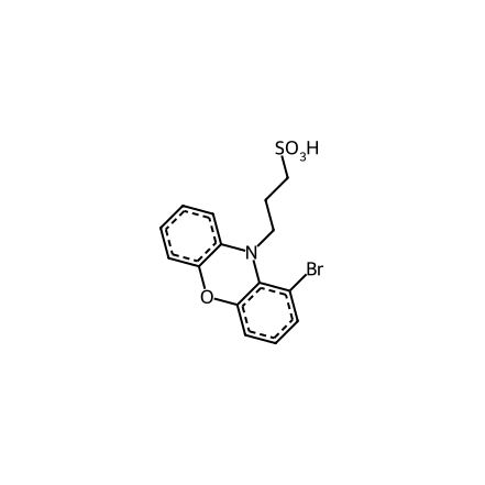 O=S(=O)(O)CCCN1c2ccccc2Oc2cccc(Br)c21